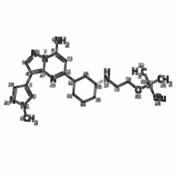 Cn1cc(-c2cnn3c(N)cc(C4CCC[C@@H](NCCO[Si](C)(C)C(C)(C)C)C4)nc23)cn1